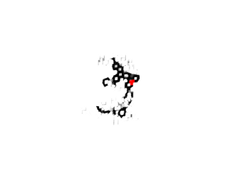 C=C(C)C(=O)OCCOC(=O)NC1CC(C)(C)CC(C)(CNC(=O)N2CCN(c3ccc(C4(c5ccccc5)C=Cc5c6c(c7cc(N8CCCCC8)c(OC)cc7c5O4)-c4ccc(C(C)(C)C)cc4C6(C)C)cc3)CC2C)C1